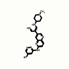 CC(C)c1cnnc(Nc2ccc3ncc(/C(C=N)=C/NC4CCN(C)CC4)cc3n2)c1